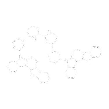 c1cc(-c2ccnc(-c3cccc(-c4cccc(-n5c6ccccc6c6c7sc8ccccc8c7ccc65)c4)n3)c2)cc(-n2c3ccccc3c3c4sc5ccccc5c4ccc32)c1